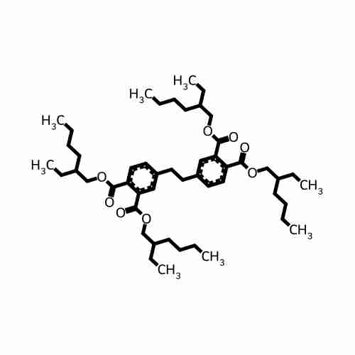 CCCCC(CC)COC(=O)c1ccc(CCc2ccc(C(=O)OCC(CC)CCCC)c(C(=O)OCC(CC)CCCC)c2)cc1C(=O)OCC(CC)CCCC